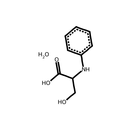 O.O=C(O)C(CO)Nc1ccccc1